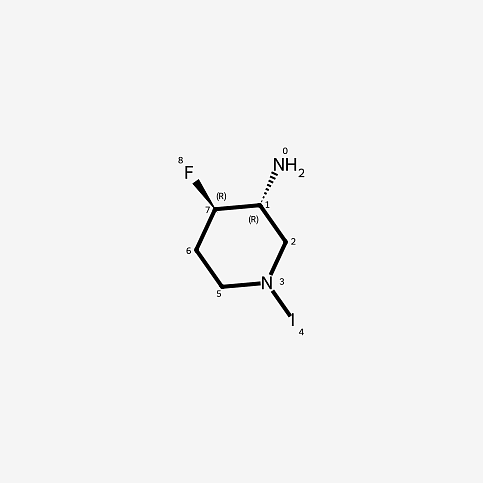 N[C@@H]1CN(I)CC[C@H]1F